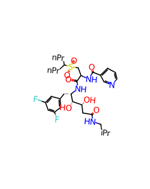 CCCC(CCC)S(=O)(=O)CC(NC(=O)c1cccnc1)C(=O)N[C@@H](Cc1cc(F)cc(F)c1)[C@@H](O)[C@H](O)CC(=O)NCC(C)C